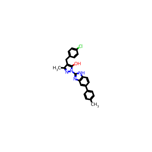 Cc1ccc(-c2ccc3[nH]c(-n4nc(C)c(Cc5ccc(Cl)cc5)c4O)nc3c2)cc1